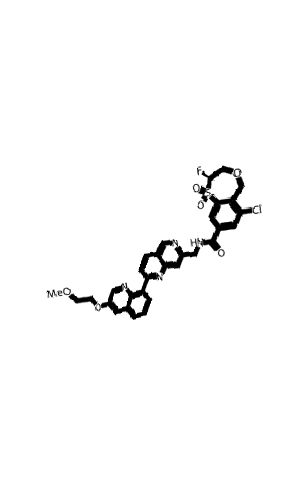 COCCOc1cnc2c(-c3ccc4cnc(CNC(=O)c5cc(Cl)c6c(c5)S(=O)(=O)[C@@H](F)COC6)cc4n3)cccc2c1